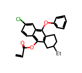 C=CC(=O)Oc1c2c(c(Oc3ccccc3)c3cc(Cl)ccc13)CCC(CC)C2